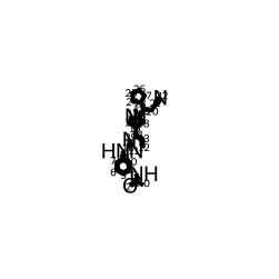 CC(=O)Nc1cccc(Nc2nccc(-c3cnn(C(CC#N)C4CCCC4)c3)n2)c1